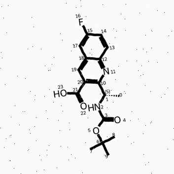 C[C@H](NC(=O)OC(C)(C)C)c1nc2ccc(F)cc2cc1C(=O)O